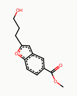 COC(=O)c1ccc2oc(CCCO)cc2c1